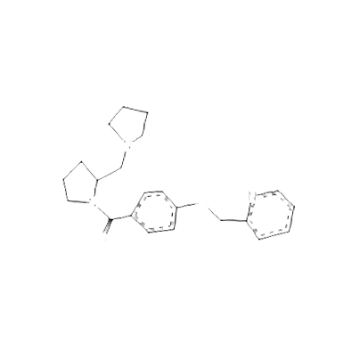 O=C(c1ccc(OCc2ccccn2)cc1)N1CCCC1CN1CCCC1